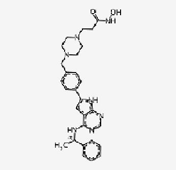 C[C@@H](Nc1ncnc2[nH]c(-c3ccc(CN4CCN(CCC(=O)NO)CC4)cc3)cc12)c1ccccc1